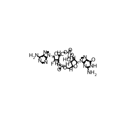 Nc1nc2c(ncn2[C@@H]2O[C@@H]3CO[PH](=O)O[C@H]4[C@@H](F)[C@H](n5cnc6c(N)ncnc65)O[C@@H]4CO[PH](=O)O[C@@H]2[C@@H]3O)c(=O)[nH]1